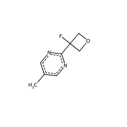 Cc1cnc(C2(F)COC2)nc1